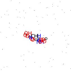 C[C@H](CC(=O)c1ccc(C(=N)NC(=O)OCOC(=O)c2ccccc2)cc1)C(=O)N1CCC(OCC(=O)O)CC1